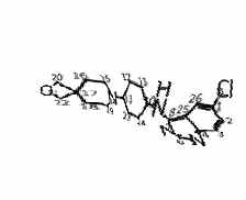 Clc1ccc2ncnc(NC3CCC(N4CCC5(CC4)COC5)CC3)c2c1